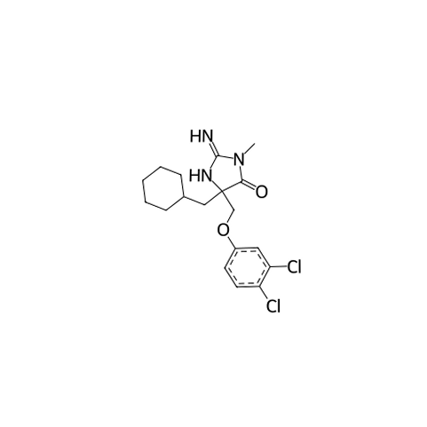 CN1C(=N)NC(COc2ccc(Cl)c(Cl)c2)(CC2CCCCC2)C1=O